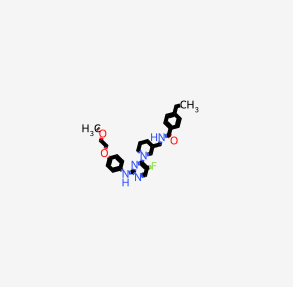 CCc1ccc(C(=O)NCC2CCCN(c3nc(Nc4ccc(OCCOC)cc4)ncc3F)C2)cc1